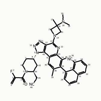 C=C(F)C(=O)N1CC[C@H](n2nnc3c(N4CC(C)(N(C)C)C4)nc4c(F)c(-c5cccc6cccc(C#N)c56)c(C)cc4c32)C[C@H]1CC#N